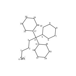 [Sn][CH2]CCC(C1CCCCC1)(C1CCCCC1)C1CCCCC1